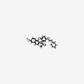 COc1ccc2c(Oc3ccc(OCCN4CCCCC4)cc3)c(O[SH](=O)=O)ccc2c1